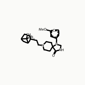 COc1cccc(N2CNC(=O)C23CCN(CCC2CCC4CC2C4(C)C)CC3)c1